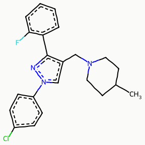 CC1CCN(Cc2cn(-c3ccc(Cl)cc3)nc2-c2ccccc2F)CC1